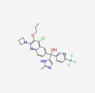 CCCOc1c(N2CCC2)nc2ccc(C(O)(c3ccc(C(F)(F)F)nc3)c3cnc(C)[nH]3)cc2c1Cl